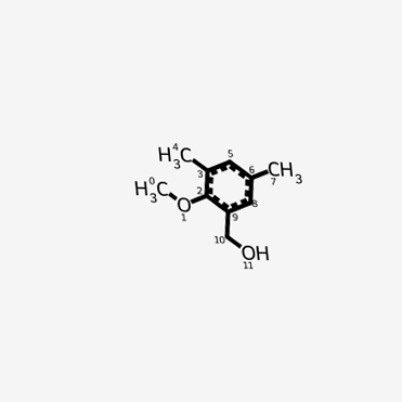 COc1c(C)cc(C)cc1CO